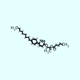 CCCCCCCCCc1ccc(-c2ccc(OCC(C)OC(=O)CCCC)nn2)cc1